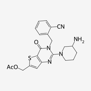 CC(=O)OCc1cc2nc(N3CCCC(N)C3)n(Cc3ccccc3C#N)c(=O)c2s1